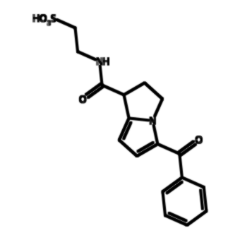 O=C(c1ccccc1)c1ccc2n1CCC2C(=O)NCCS(=O)(=O)O